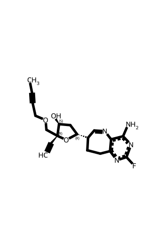 C#C[C@]1(COCC#CC)O[C@@H](C2C=Nc3c(N)nc(F)nc3CC2)C[C@@H]1O